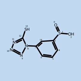 O=S(O)c1cccc(-n2nnnc2S)c1